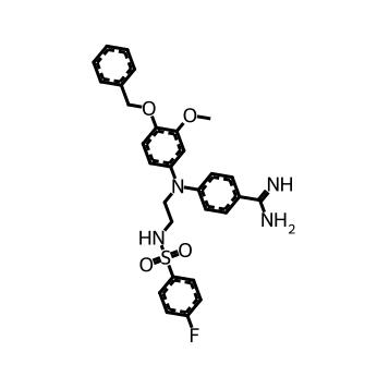 COc1cc(N(CCNS(=O)(=O)c2ccc(F)cc2)c2ccc(C(=N)N)cc2)ccc1OCc1ccccc1